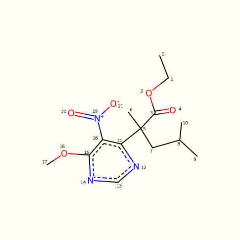 CCOC(=O)C(C)(CC(C)C)c1ncnc(OC)c1[N+](=O)[O-]